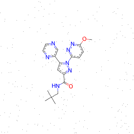 COc1ccc(-n2nc(C(=O)NCC(C)(C)C)cc2-c2cnccn2)nn1